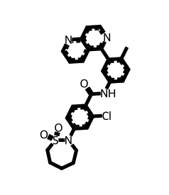 Cc1ccc(NC(=O)c2ccc(N3CCCCCS3(=O)=O)cc2Cl)cc1-c1nccc2ncccc12